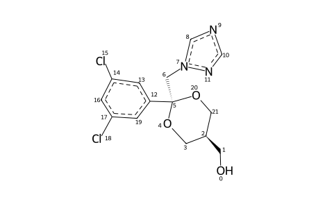 OC[C@H]1CO[C@@](Cn2cncn2)(c2cc(Cl)cc(Cl)c2)OC1